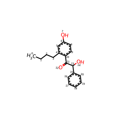 CCCCc1cc(O)ccc1C(=O)C(O)c1ccccc1